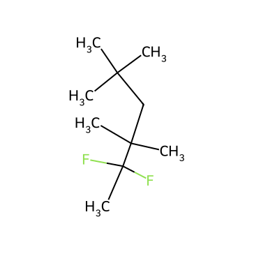 CC(C)(C)CC(C)(C)C(C)(F)F